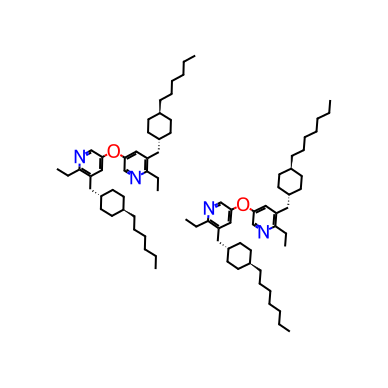 CCCCCCC[C@H]1CC[C@H](Cc2cc(Oc3cnc(CC)c(C[C@H]4CC[C@H](CCCCCCC)CC4)c3)cnc2CC)CC1.CCCCCC[C@H]1CC[C@H](Cc2cc(Oc3cnc(CC)c(C[C@H]4CC[C@H](CCCCCC)CC4)c3)cnc2CC)CC1